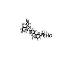 CN(C=O)c1ccc(F)c(-c2cnc(NC[C@]3(c4ncccc4F)C[C@@H](F)C3)nc2)c1